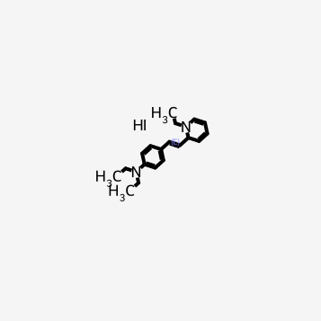 CCN(CC)c1ccc(/C=C/C2C=CC=CN2CC)cc1.I